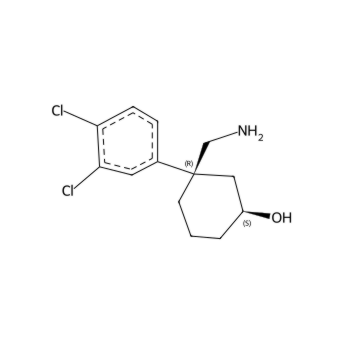 NC[C@]1(c2ccc(Cl)c(Cl)c2)CCC[C@H](O)C1